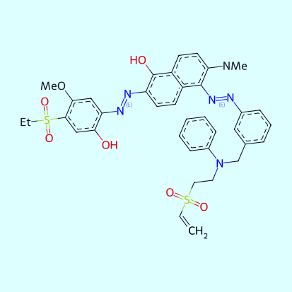 C=CS(=O)(=O)CCN(Cc1cccc(/N=N/c2c(NC)ccc3c(O)c(/N=N/c4cc(OC)c(S(=O)(=O)CC)cc4O)ccc23)c1)c1ccccc1